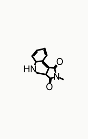 CN1C(=O)C2=C3C=CC=CC3NCC2C1=O